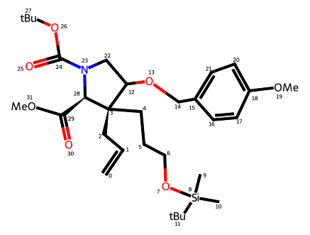 C=CC[C@]1(CCCO[Si](C)(C)C(C)(C)C)C(OCc2ccc(OC)cc2)CN(C(=O)OC(C)(C)C)[C@@H]1C(=O)OC